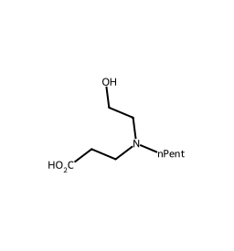 CCCCCN(CCO)CCC(=O)O